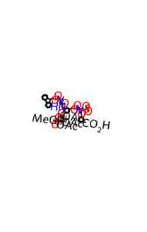 COC(=O)[C@H]1O[C@@H](Oc2ccc(COC(=O)N(CCS(C)(=O)=O)COc3cccc(C(=O)O)c3)cc2NC(=O)CN(C)C(=O)OCC2c3ccccc3-c3ccccc32)[C@H](OC(C)=O)[C@@H](OC(C)=O)[C@@H]1OC(C)=O